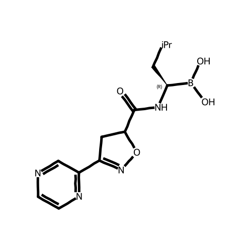 CC(C)C[C@H](NC(=O)C1CC(c2cnccn2)=NO1)B(O)O